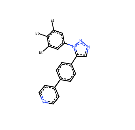 CCc1cc(-n2nncc2-c2ccc(-c3ccncc3)cc2)cc(CC)c1CC